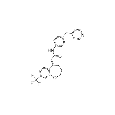 O=C(C=C1CCCOc2cc(C(F)(F)F)ccc21)Nc1ccc(Cc2ccncc2)cc1